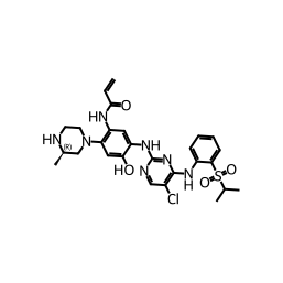 C=CC(=O)Nc1cc(Nc2ncc(Cl)c(Nc3ccccc3S(=O)(=O)C(C)C)n2)c(O)cc1N1CCN[C@H](C)C1